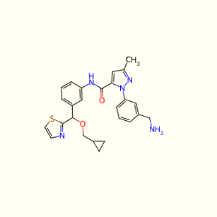 Cc1cc(C(=O)Nc2cccc(C(OCC3CC3)c3nccs3)c2)n(-c2cccc(CN)c2)n1